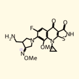 CO/N=C1\CN(c2c(F)cc3c(=O)c4c(=O)[nH]sc4n(C4CC4)c3c2OC)CC1CN